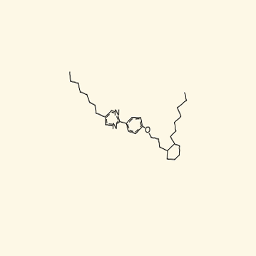 CCCCCCCCc1cnc(-c2ccc(OCCCC3CCCCC3CCCCCCC)cc2)nc1